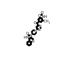 Cc1cc(C(=O)c2cc(N3CCC(n4c(=O)[nH]c5c6ccccc6ncc54)CC3)ncn2)cc2oc(=O)[nH]c12